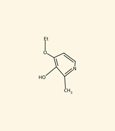 CCOc1ccnc(C)c1O